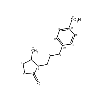 CC1CCC(=O)N1CCCc1ccc(C(=O)O)cc1